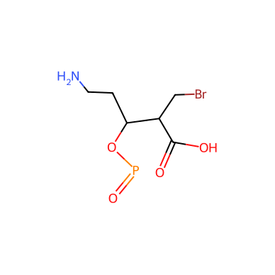 NCCC(OP=O)C(CBr)C(=O)O